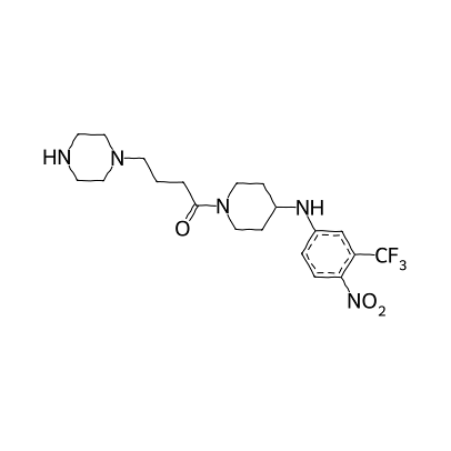 O=C(CCCN1CCNCC1)N1CCC(Nc2ccc([N+](=O)[O-])c(C(F)(F)F)c2)CC1